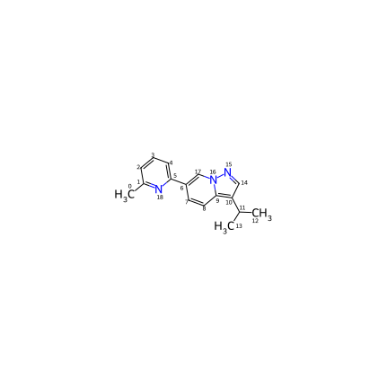 Cc1cccc(-c2ccc3c(C(C)C)cnn3c2)n1